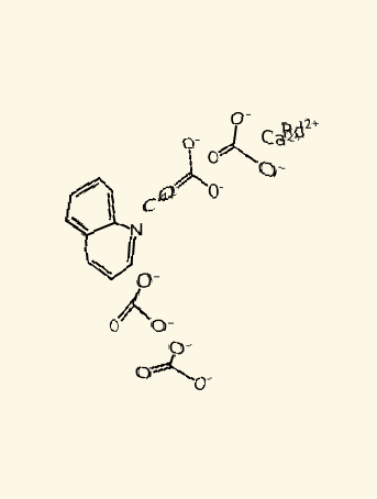 O=C([O-])[O-].O=C([O-])[O-].O=C([O-])[O-].O=C([O-])[O-].[C+4].[Ca+2].[Pd+2].c1ccc2ncccc2c1